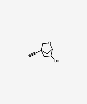 N#CC12COC(C1)C(O)C2